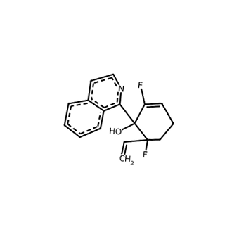 C=CC1(F)CCC=C(F)C1(O)c1nccc2ccccc12